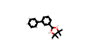 CC1(C)OC(c2cccc(-c3ccccc3)c2)OC1(C)C